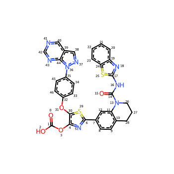 O=C(O)Oc1nc(-c2ccc3c(c2)N(C(=O)Nc2nc4ccccc4s2)CCC3)sc1Oc1ccc(-n2ncc3cncnc32)cc1